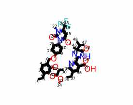 CCc1ccc(COc2ccc(-n3c(=O)cc(C(F)(F)F)n(C)c3=O)cc2)c(OC(C)C(=O)OC)c1.CCc1cnc(C2=NC(C)(C(C)C)C(=O)N2)c(C(=O)O)c1